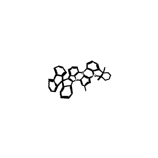 Cc1cc2c3c(c1)-n1c4c(c5cccc(c51)B3c1cccc3c1N2C1(C)CCCCC31C)C1(c2ccccc2-c2ccccc21)c1ccccc1-4